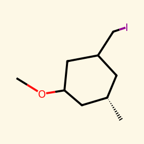 COC1CC(CI)C[C@H](C)C1